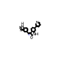 O=C1Nc2cc(-c3cccnc3)ccc2/C1=C\c1ccc2[nH]nnc2c1